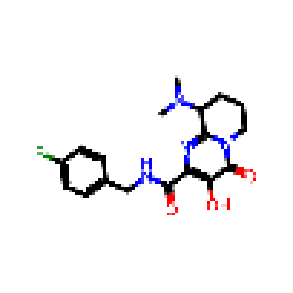 CN(C)C1CCCn2c1nc(C(=O)NCc1ccc(F)cc1)c(O)c2=O